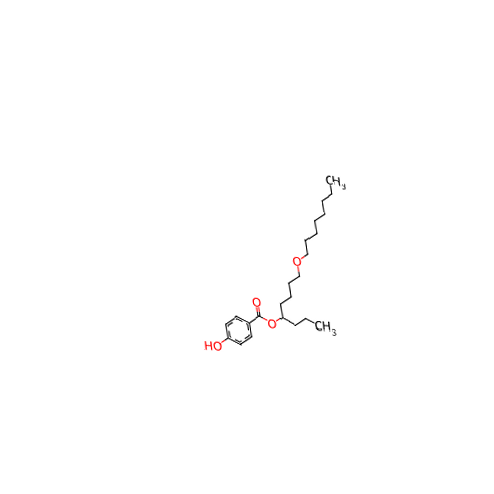 CCCCCCCCOCCCCC(CCC)OC(=O)c1ccc(O)cc1